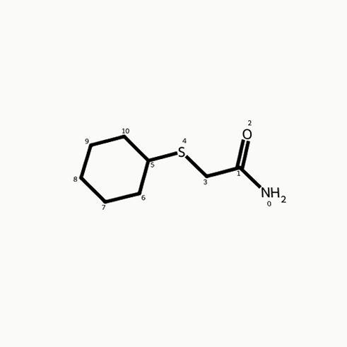 NC(=O)CSC1CCCCC1